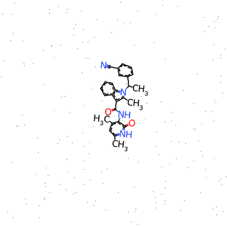 Cc1cc(C)c(NC(=O)c2c(C)n(C(C)c3cccc(C#N)c3)c3ccccc23)c(=O)[nH]1